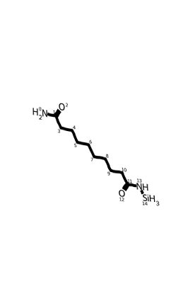 NC(=O)CCCCCCCCC(=O)N[SiH3]